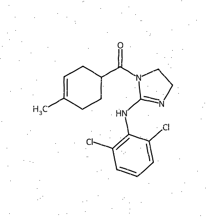 CC1=CCC(C(=O)N2CCN=C2Nc2c(Cl)cccc2Cl)CC1